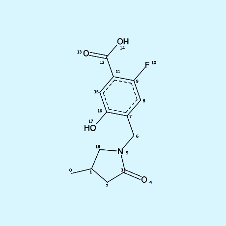 CC1CC(=O)N(Cc2cc(F)c(C(=O)O)cc2O)C1